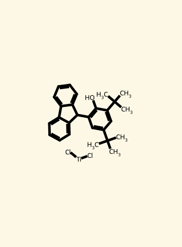 CC(C)(C)c1cc(C2c3ccccc3-c3ccccc32)c(O)c(C(C)(C)C)c1.[Cl][Ti][Cl]